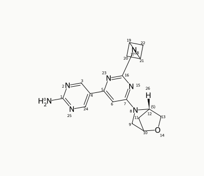 Nc1ncc(-c2cc(N3CC4C[C@H]3CO4)nc(N3CC4CC3C4)n2)cn1